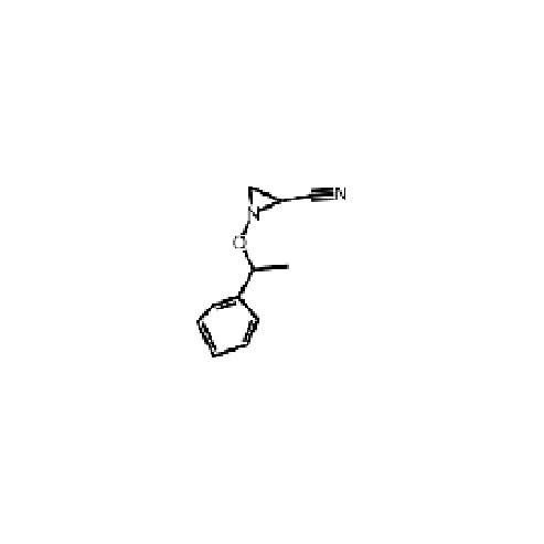 CC(ON1CC1C#N)c1ccccc1